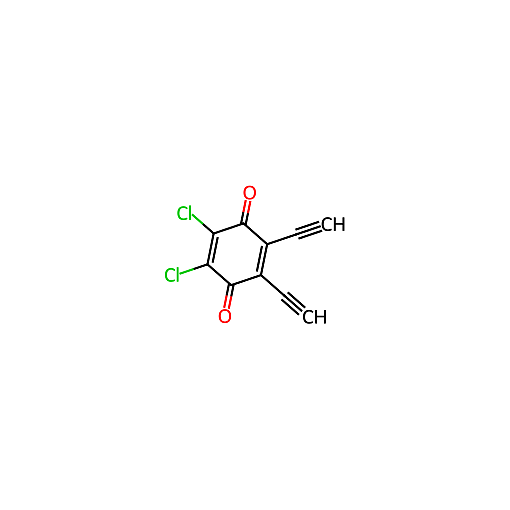 C#CC1=C(C#C)C(=O)C(Cl)=C(Cl)C1=O